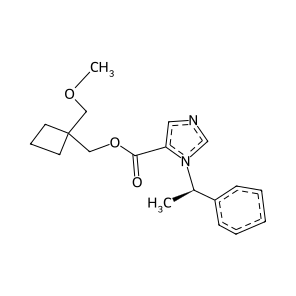 COCC1(COC(=O)c2cncn2[C@H](C)c2ccccc2)CCC1